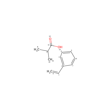 C=Cc1ccccc1.CC(C)C(=O)O